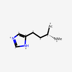 CN[C@H](CCc1cnc[nH]1)C(C)=O